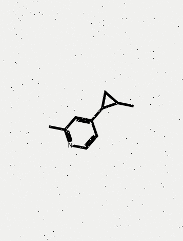 Cc1cc(C2CC2C)ccn1